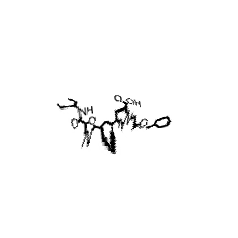 CCC(CC)NC(=O)c1cnc(-c2cccc(-c3cc(C(=O)O)n(CCOCc4ccccc4)n3)c2)o1